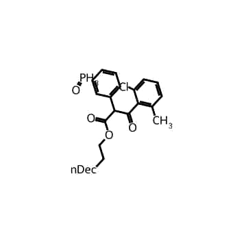 CCCCCCCCCCCCOC(=O)C(C(=O)c1c(C)cccc1Cl)c1ccccc1.O=[PH3]